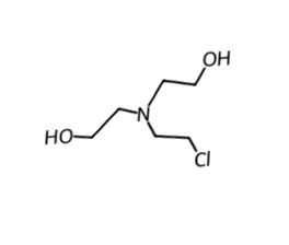 OCCN(CCO)CCCl